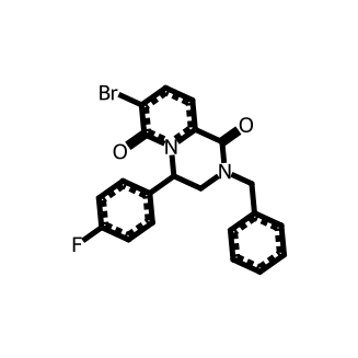 O=C1c2ccc(Br)c(=O)n2C(c2ccc(F)cc2)CN1Cc1ccccc1